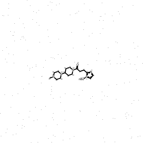 CCCCn1ccnc1CCC(=O)N1CCC(N2CCN(C)CC2)CC1